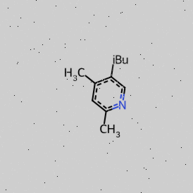 CCC(C)c1cnc(C)cc1C